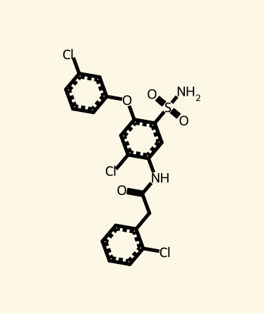 NS(=O)(=O)c1cc(NC(=O)Cc2ccccc2Cl)c(Cl)cc1Oc1cccc(Cl)c1